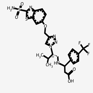 CC(C)[C@@H](CNC(CC(=O)O)c1ccc(C(F)(F)F)cc1)n1cc(COc2ccc3nc(S(N)(=O)=O)sc3c2)nn1